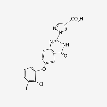 O=C(O)c1cnn(-c2nc3ccc(Oc4cccc(I)c4Cl)cc3c(=O)[nH]2)c1